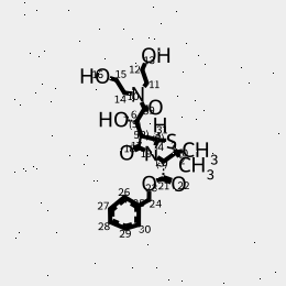 CC1(C)S[C@@H]2[C@H]([C@H](O)C(=O)N(CCO)CCO)C(=O)N2[C@H]1C(=O)OCc1ccccc1